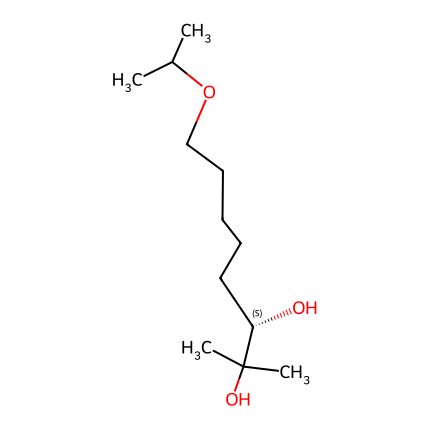 CC(C)OCCCCC[C@H](O)C(C)(C)O